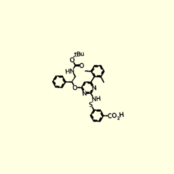 Cc1cccc(C)c1-c1cc(O[C@H](CNC(=O)OC(C)(C)C)c2ccccc2)nc(NSc2cccc(C(=O)O)c2)n1